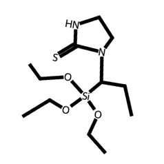 CCO[Si](OCC)(OCC)C(CC)N1CCNC1=S